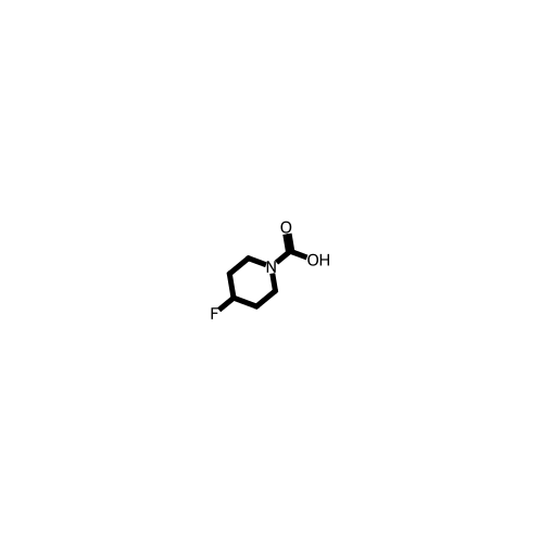 O=C(O)N1CCC(F)CC1